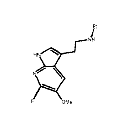 CCNCCc1c[nH]c2nc(F)c(OC)cc12